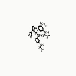 CC(C)C(=O)Nc1cccc(N)c1.CC(C)C(=O)Nc1cccc(Nc2ncc3ccc(-c4cnn(C)c4)n3n2)c1